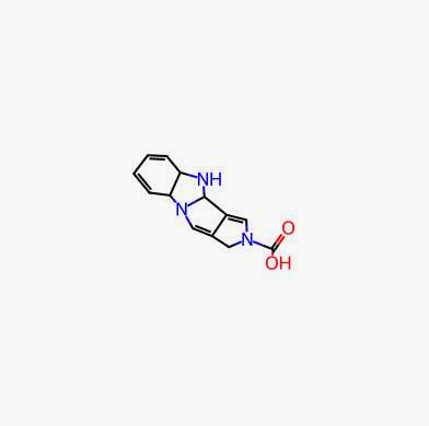 O=C(O)N1C=C2C(=CN3C2NC2C=CC=CC23)C1